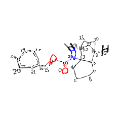 O=C(NC12CCCCC1[C@@H]1CC[C@H]2C1)OCc1ccccc1